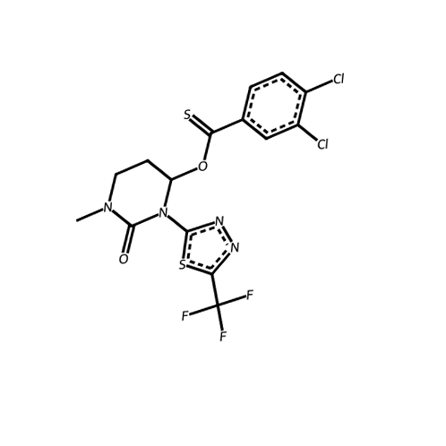 CN1CCC(OC(=S)c2ccc(Cl)c(Cl)c2)N(c2nnc(C(F)(F)F)s2)C1=O